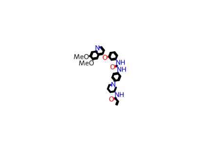 C=CC(=O)NC1CCCN(c2ccc(NC(=O)Nc3cccc(Oc4ccnc5cc(OC)c(OC)cc45)c3)cc2)C1